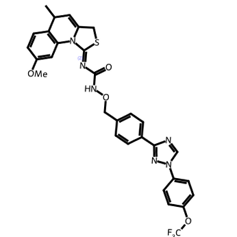 COc1ccc2c(c1)N1C(=CC2C)CS/C1=N\C(=O)NOCc1ccc(-c2ncn(-c3ccc(OC(F)(F)F)cc3)n2)cc1